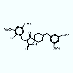 COc1cc(CN2CCC3(CC2)NC(=O)N(Cc2cc(OC)cc(OC)c2Br)C3=O)cc(OC)c1